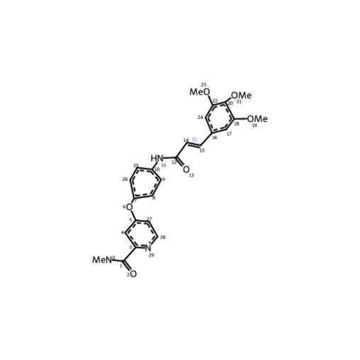 CNC(=O)c1cc(Oc2ccc(NC(=O)/C=C/c3cc(OC)c(OC)c(OC)c3)cc2)ccn1